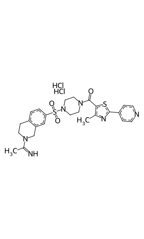 CC(=N)N1CCc2ccc(S(=O)(=O)N3CCN(C(=O)c4sc(-c5ccncc5)nc4C)CC3)cc2C1.Cl.Cl